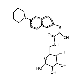 N#CC(=Cc1ccc2cc(N3CCCCC3)ccc2c1)C(=O)NCC1OC(O)C(O)C(O)C1O